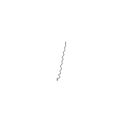 ICCCCCCCCCCCCCCCI